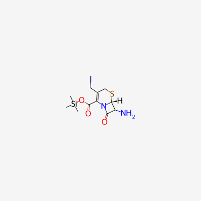 C[Si](C)(C)OC(=O)C1=C(CI)CS[C@@H]2C(N)C(=O)N12